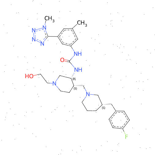 Cc1cc(NC(=O)N[C@H]2CN(CCO)CC[C@H]2CN2CCC[C@@H](Cc3ccc(F)cc3)C2)cc(-c2nnnn2C)c1